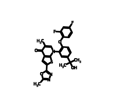 Cc1nnc(-c2cc3c(=O)c(C)cn(-c4cc(C(C)(C)O)ccc4Oc4ccc(F)cc4F)c3s2)o1